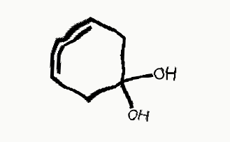 OC1(O)CC=C=CC1